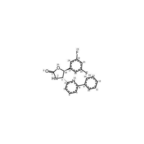 O=C1N[C@@H](c2cccc(-c3ccccc3)n2)[C@H](c2cc(F)cc(F)c2)O1